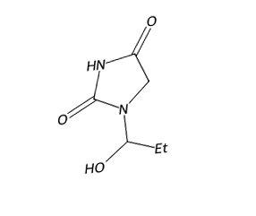 CCC(O)N1CC(=O)NC1=O